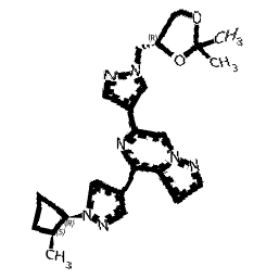 C[C@H]1CC[C@H]1n1cc(-c2nc(-c3cnn(C[C@@H]4COC(C)(C)O4)c3)cn3nccc23)cn1